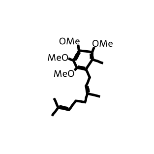 COc1c(C)c(C/C=C(\C)CCC=C(C)C)c(OC)c(OC)c1OC